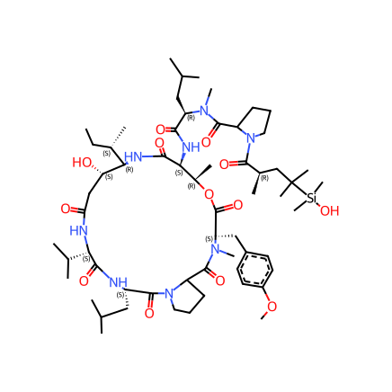 CC[C@H](C)[C@H]1NC(=O)[C@@H](NC(=O)[C@@H](CC(C)C)N(C)C(=O)C2CCCN2C(=O)[C@H](C)CC(C)(C)[Si](C)(C)O)[C@@H](C)OC(=O)[C@H](Cc2ccc(OC)cc2)N(C)C(=O)C2CCCN2C(=O)[C@H](CC(C)C)NC(=O)[C@H](C(C)C)NC(=O)C[C@@H]1O